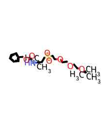 CC(C)(CCS(=O)(=O)CCOCCOCCOC(C)(C)C)NC(=O)OCc1ccccc1